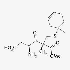 COC(=O)[C@@](N)(CSC1(C)CC=CCC1)C(=O)[C@@H](N)CC(=O)O